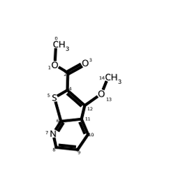 COC(=O)c1sc2ncccc2c1OC